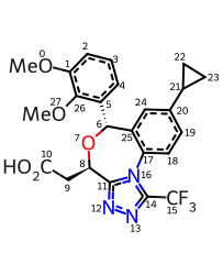 COc1cccc([C@H]2O[C@H](CC(=O)O)c3nnc(C(F)(F)F)n3-c3ccc(C4CC4)cc32)c1OC